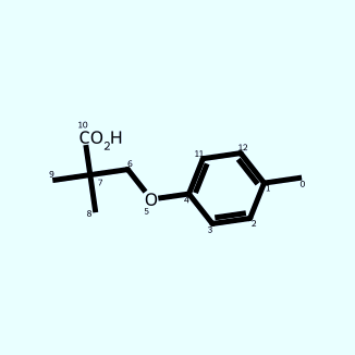 Cc1ccc(OCC(C)(C)C(=O)O)cc1